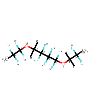 CC(C)(OC(F)(F)C(F)(F)C(F)(F)C(C)(C)OC(F)(F)C(F)(F)C(F)(F)F)C(F)(F)C(F)(F)F